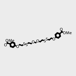 COC(=O)c1ccc(OCCSSCCOCOCCSSCCOc2ccc(C(=O)OC)cc2)cc1